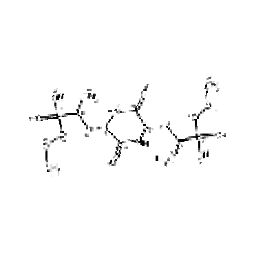 COOP(=O)(O)C(C)C[C@@H]1NC(=O)[C@H](CC(C)P(=O)(O)OOC)NC1=O